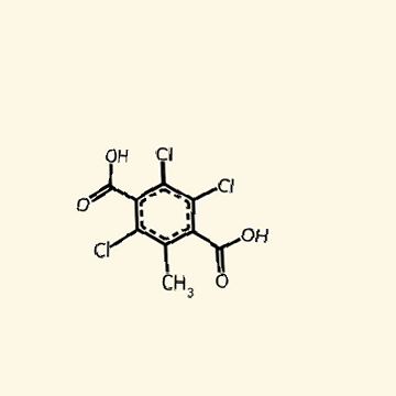 Cc1c(Cl)c(C(=O)O)c(Cl)c(Cl)c1C(=O)O